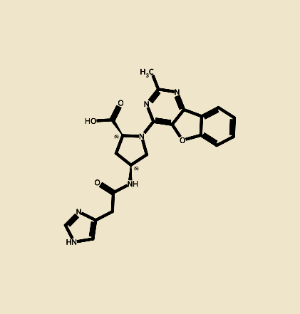 Cc1nc(N2C[C@@H](NC(=O)Cc3c[nH]cn3)C[C@H]2C(=O)O)c2oc3ccccc3c2n1